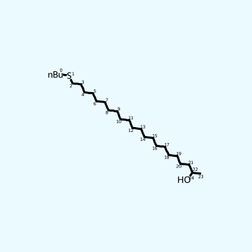 CCCCSCCCCCCCCCCCCCCCCCCCCC(C)O